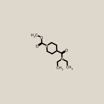 CCN(CC)C(=O)C1CCN(C(=O)OC)CC1